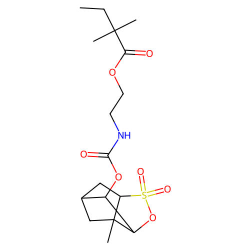 CCC(C)(C)C(=O)OCCNC(=O)OC1C2CC3C(C)(C2)C1OS3(=O)=O